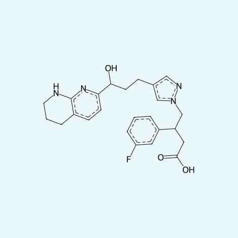 O=C(O)CC(Cn1cc(CCC(O)c2ccc3c(n2)NCCC3)cn1)c1cccc(F)c1